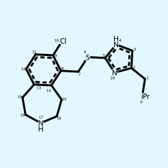 CC(C)Cc1c[nH]c(SCc2c(Cl)ccc3c2CCNCC3)n1